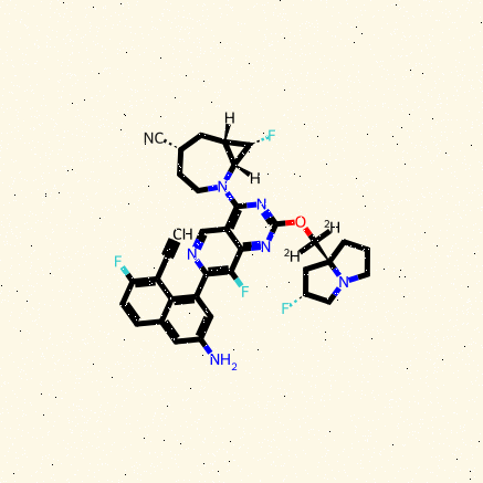 [2H]C([2H])(Oc1nc(N2CC[C@H](C#N)C[C@@H]3[C@H](F)[C@@H]32)c2cnc(-c3cc(N)cc4ccc(F)c(C#C)c34)c(F)c2n1)[C@@]12CCCN1C[C@H](F)C2